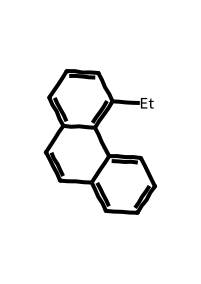 [CH2]Cc1cccc2ccc3ccccc3c12